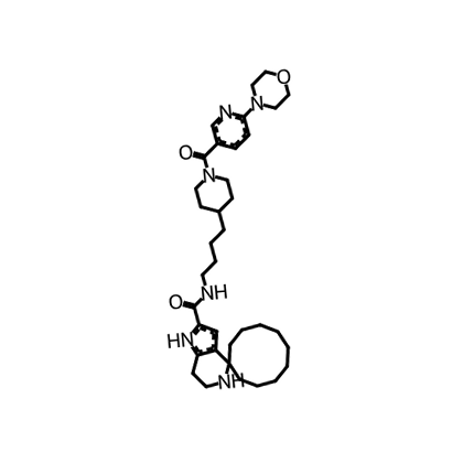 O=C(NCCCCC1CCN(C(=O)c2ccc(N3CCOCC3)nc2)CC1)c1cc2c([nH]1)CCNC21CCCCCCCCC1